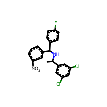 CC(NC(c1ccc(F)cc1)c1cccc([N+](=O)[O-])c1)c1cc(Cl)cc(Cl)c1